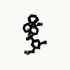 COc1cc(C(=O)N2CC[C@](O)(c3ccccc3)[C@H]3CCCC[C@H]32)cc(Cl)n1